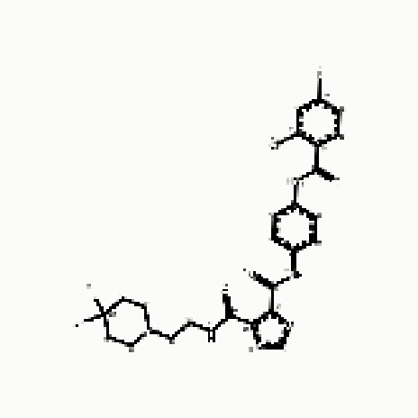 O=C(Nc1ccc(NC(=O)c2ocnc2C(=O)NCCN2CCC(F)(F)CC2)cc1)c1ccc(F)cc1Cl